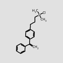 C=C(c1ccccc1)c1ccc(CCC[Si](C)(C)Cl)cc1